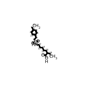 C=Cc1ccc(CCS(=O)(=O)NCCCCCC(CC)C(=O)O)cc1